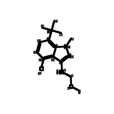 COCNc1nn(C)c2c(C(C)(C)C)ccc(Cl)c12